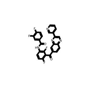 O=C(Nc1ccc(F)c(C(=O)c2ccc3ncc(-c4cccnc4)nc3c2)c1F)c1ccc(F)c(F)c1